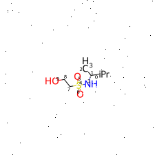 CC(C)C(C)NS(=O)(=O)CCO